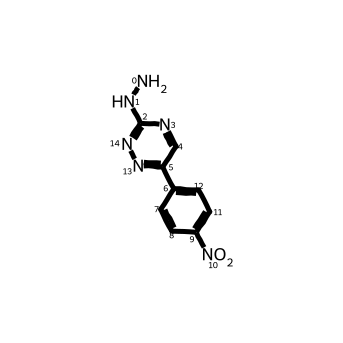 NNc1ncc(-c2ccc([N+](=O)[O-])cc2)nn1